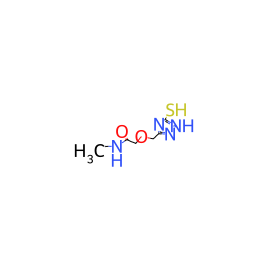 CCNC(=O)COCc1n[nH]c(S)n1